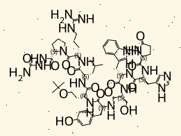 CC(C)C[C@H](NC(=O)[C@@H](CCOC(C)(C)C)NC(=O)[C@H](Cc1ccc(O)cc1)NC(=O)[C@H](CO)NC(=O)[C@H](Cc1c[nH]c2ccccc12)NC(=O)[C@H](Cc1cnc[nH]1)NC(=O)[C@@H]1CCC(=O)N1)C(=O)N[C@@H](CCCNC(=N)N)C(=O)N1CCC[C@H]1C(=O)NNC(N)=O